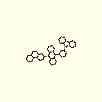 c1cc(-c2c3ccccc3c(-c3ccc4c(ccc5ccccc54)c3)c3ccccc23)cc(-n2c3ccccc3c3cccnc32)c1